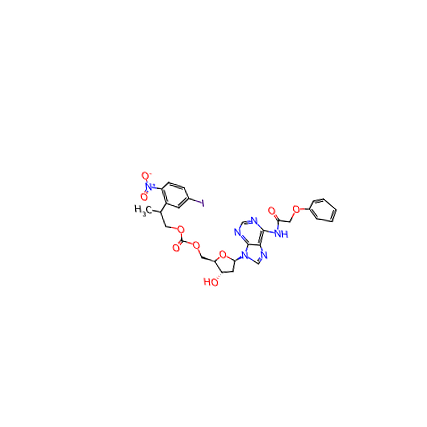 CC(COC(=O)OC[C@H]1O[C@@H](n2cnc3c(NC(=O)COc4ccccc4)ncnc32)C[C@@H]1O)c1cc(I)ccc1[N+](=O)[O-]